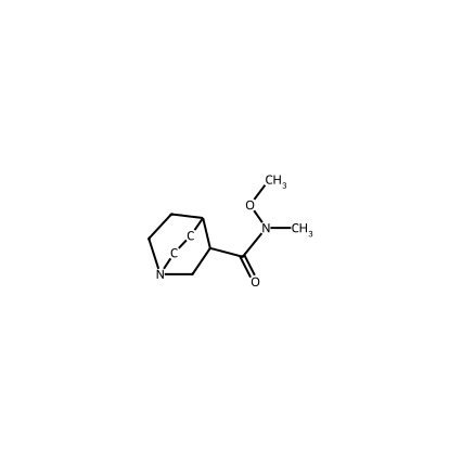 CON(C)C(=O)C1CN2CCC1CC2